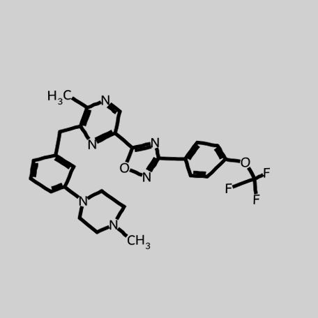 Cc1ncc(-c2nc(-c3ccc(OC(F)(F)F)cc3)no2)nc1Cc1cccc(N2CCN(C)CC2)c1